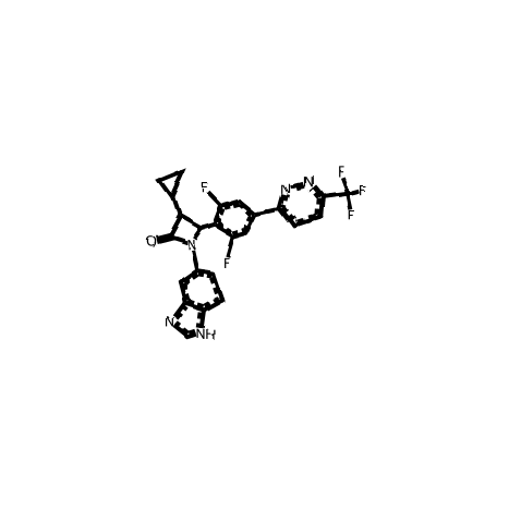 O=C1C(C2CC2)C(c2c(F)cc(-c3ccc(C(F)(F)F)nn3)cc2F)N1c1ccc2[nH]cnc2c1